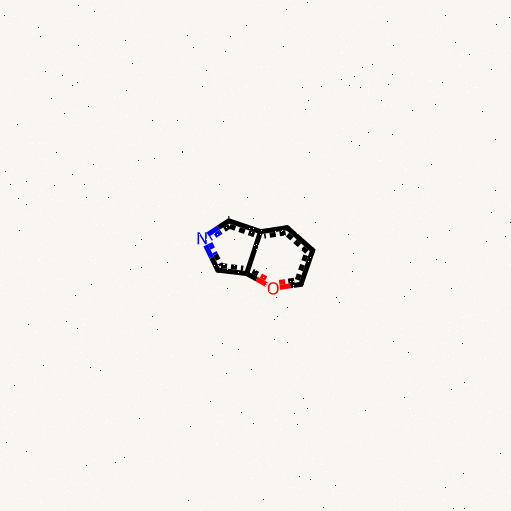 [c]1ncc2occcc1-2